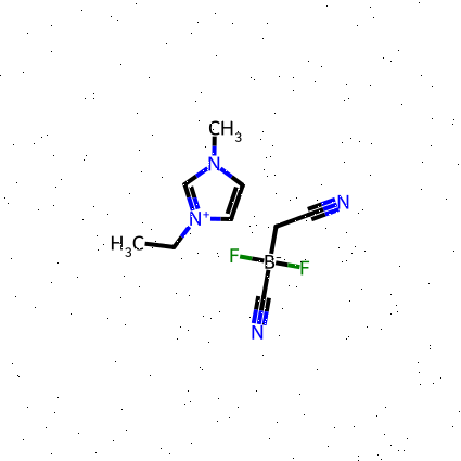 CC[n+]1ccn(C)c1.N#CC[B-](F)(F)C#N